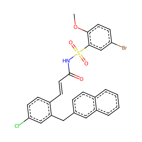 COc1ccc(Br)cc1S(=O)(=O)NC(=O)/C=C/c1ccc(Cl)cc1Cc1ccc2ccccc2c1